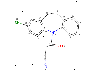 N#CCC(=O)N1c2ccccc2CCc2cc(Cl)ccc21